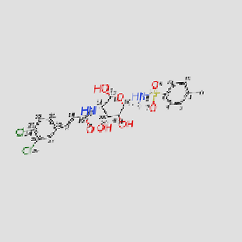 Cc1ccc(S(=O)(=O)NC[C@H]2O[C@H](O)[C@@H](NC(=O)/C=C/c3ccc(Cl)c(Cl)c3)[C@@H](O)[C@@H]2O)cc1